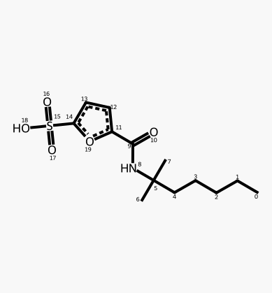 CCCCCC(C)(C)NC(=O)c1ccc(S(=O)(=O)O)o1